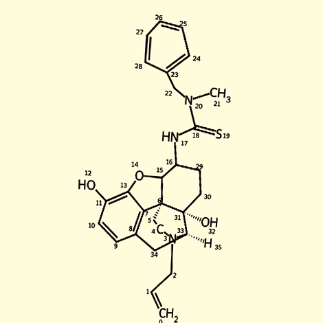 C=CCN1CC[C@]23c4c5ccc(O)c4OC2C(NC(=S)N(C)Cc2ccccc2)CC[C@@]3(O)[C@H]1C5